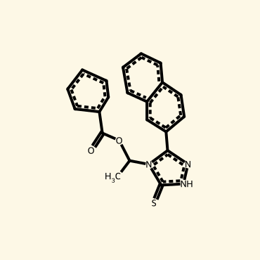 CC(OC(=O)c1ccccc1)n1c(-c2ccc3ccccc3c2)n[nH]c1=S